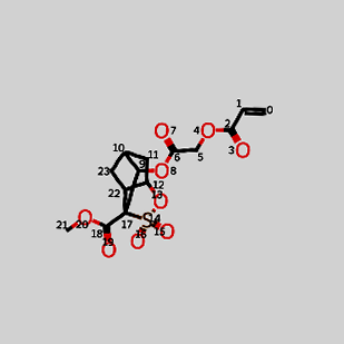 C=CC(=O)OCC(=O)OC1C2CC3OS(=O)(=O)C1(C(=O)OC)C3C2